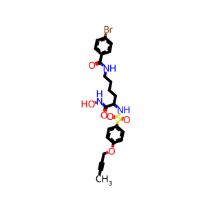 CC#CCOc1ccc(S(=O)(=O)NC(CCCCNC(=O)c2ccc(Br)cc2)C(=O)NO)cc1